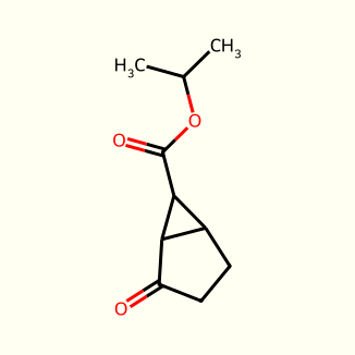 CC(C)OC(=O)C1C2CCC(=O)C21